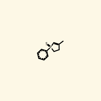 CC1=CP(=S)(c2ccccc2)CC1